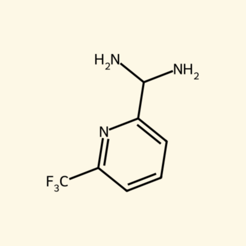 NC(N)c1cccc(C(F)(F)F)n1